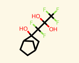 OC1(C(F)(F)C(O)(O)C(F)(F)F)CC2CCC1C2